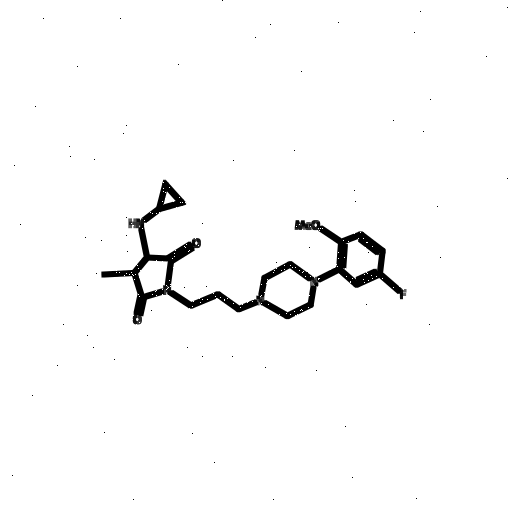 COc1ccc(F)cc1N1CCN(CCCN2C(=O)C(C)C(NC3CC3)C2=O)CC1